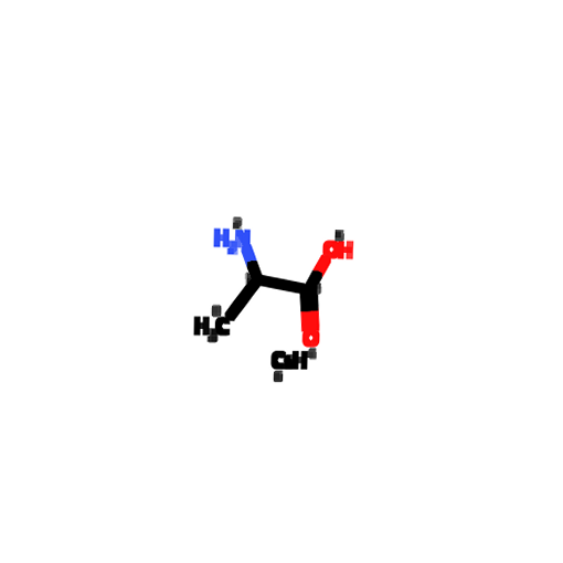 CC(N)C(=O)O.[CsH]